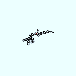 CCCCCC1CCC(c2ccc(-c3ccc(C(=O)Nc4ccc(-c5ccc6c(c5)-c5c(c7c(c8cc(OC(F)(F)F)ccc58)OC(c5ccc(OC)cc5)(c5ccc(OC)cc5)C=C7)C6(C)C)cc4)cc3)cc2)CC1